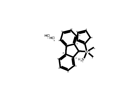 Cl.Cl.[CH3][Zr]([CH3])([SiH3])([C]1=CC=CC1)[CH]1c2ccccc2-c2ccccc21